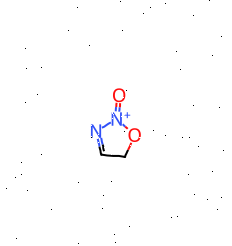 O=[N+]1N=CCO1